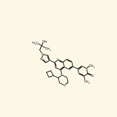 Cc1cc(-c2ccc3nc(-c4cnn(CC(C)(C)O)c4)nc(N4CCOCC4C4CCC4)c3c2)cn(C)c1=O